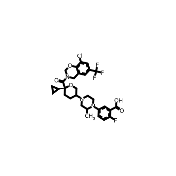 CC1CN(C2CC[C@@](C(=O)N3COc4c(Cl)cc(C(F)(F)F)cc4C3)(C3CC3)OC2)CCN1c1ccc(F)c(C(=O)O)c1